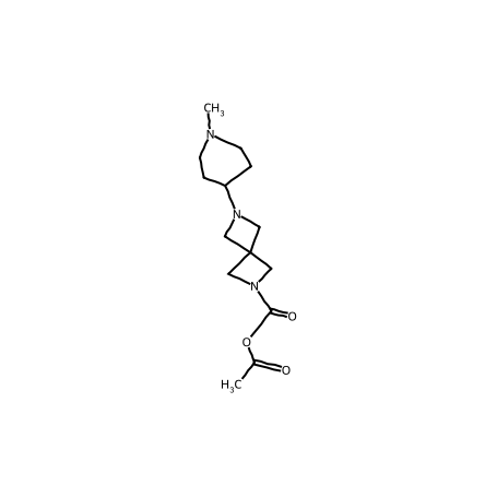 CC(=O)OC(=O)N1CC2(C1)CN(C1CCN(C)CC1)C2